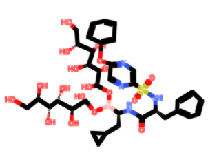 O=C(N[C@@H](CC1CC1)B(OC(O)[C@@H](O)[C@@H](O)[C@H](O)[C@H](O)CO)OC(O)[C@@H](O)[C@@H](O)[C@H](O)[C@H](O)CO)[C@H](Cc1ccccc1)NS(=O)(=O)c1cnc(Oc2ccccc2)cn1